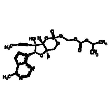 CC#C[C@]1(O)[C@H](n2ccc3c(C)ncnc32)O[C@]2(F)COP(=O)(OCOC(=O)OC(C)C)O[C@@H]12